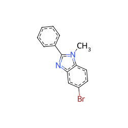 Cn1c(-c2ccccc2)nc2cc(Br)ccc21